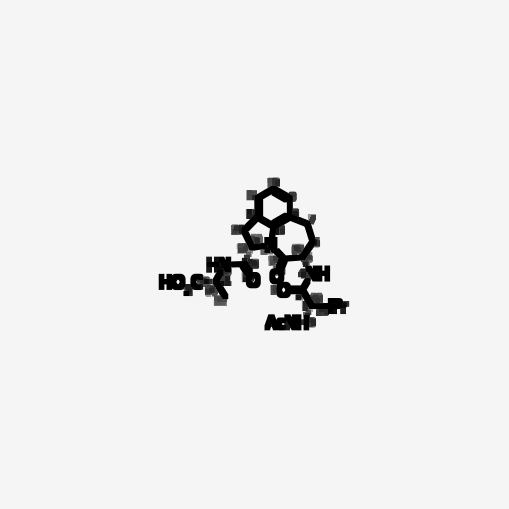 CC(=O)N[C@H](C(=O)N[C@H]1CCc2cccc3c2N(C1=O)[C@H](C(=O)N[C@H](C)C(=O)O)C3)C(C)C